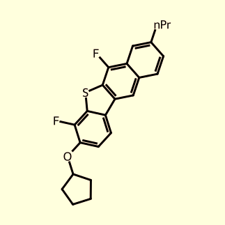 CCCc1ccc2cc3c(sc4c(F)c(OC5CCCC5)ccc43)c(F)c2c1